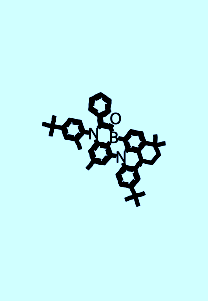 Cc1cc2c3c(c1)N(c1ccc(C(C)(C)C)cc1C)c1c(oc4ccccc14)B3c1ccc3c4c1N2c1ccc(C(C)(C)C)cc1C4(C)CCC3(C)C